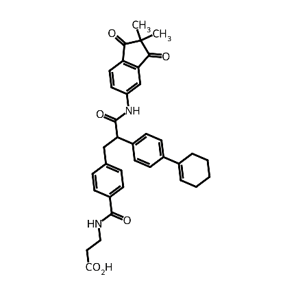 CC1(C)C(=O)c2ccc(NC(=O)C(Cc3ccc(C(=O)NCCC(=O)O)cc3)c3ccc(C4=CCCCC4)cc3)cc2C1=O